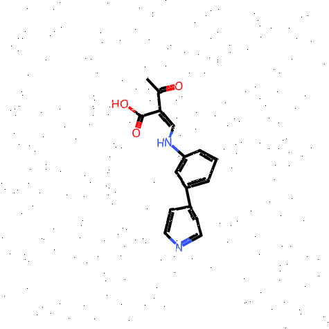 CC(=O)C(=CNc1cccc(-c2ccncc2)c1)C(=O)O